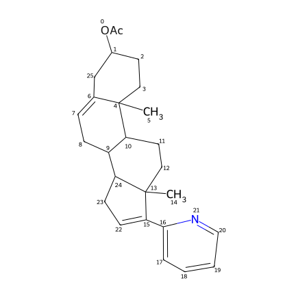 CC(=O)OC1CCC2(C)C(=CCC3C2CCC2(C)C(c4ccccn4)=CCC32)C1